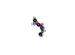 O=C(c1ccc(NS(=O)(=O)c2ccc(F)cc2)cc1)N1CCN(C(=S)SCc2cccnc2)CC1